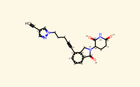 C#Cc1cnn(CCCC#Cc2cccc3c2CN(C2CCC(=O)NC2=O)C3=O)c1